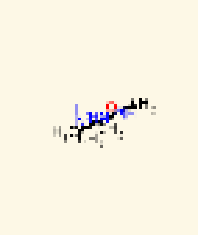 C=CCNC(=O)CNC(=C)CC[C@H](N)C(=C)C